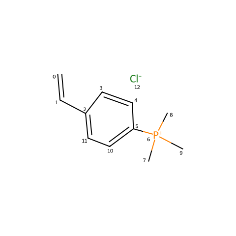 C=Cc1ccc([P+](C)(C)C)cc1.[Cl-]